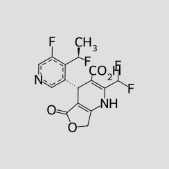 C[C@@H](F)c1c(F)cncc1[C@H]1C2=C(COC2=O)NC(C(F)F)=C1C(=O)O